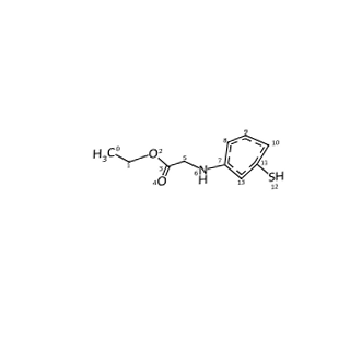 CCOC(=O)CNc1cccc(S)c1